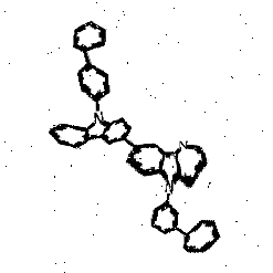 c1ccc(-c2ccc(-n3c4ccccc4c4cc(-c5ccc6c(c5)c5ncccc5n6-c5cccc(-c6ccccc6)c5)ccc43)cc2)cc1